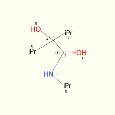 CC(C)N[C@@H](O)C(O)(C(C)C)C(C)C